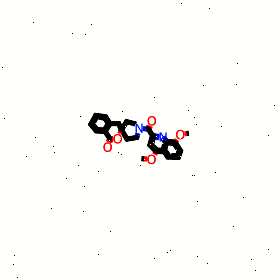 COc1cc(C(=O)N2CCC3(CC2)Cc2ccccc2C(=O)O3)nc2c(OC)cccc12